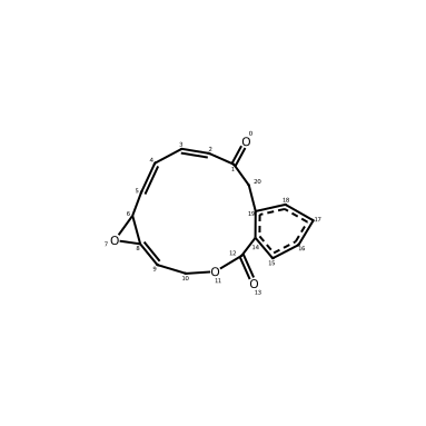 O=C1/C=C\C=C/C2O/C2=C/COC(=O)c2ccccc2C1